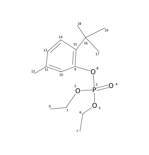 CCOP(=O)(OCC)Oc1cc(C)ccc1C(C)(C)C